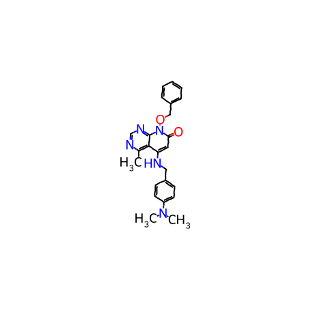 Cc1ncnc2c1c(NCc1ccc(N(C)C)cc1)cc(=O)n2OCc1ccccc1